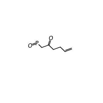 C=CCCC(=O)CP=O